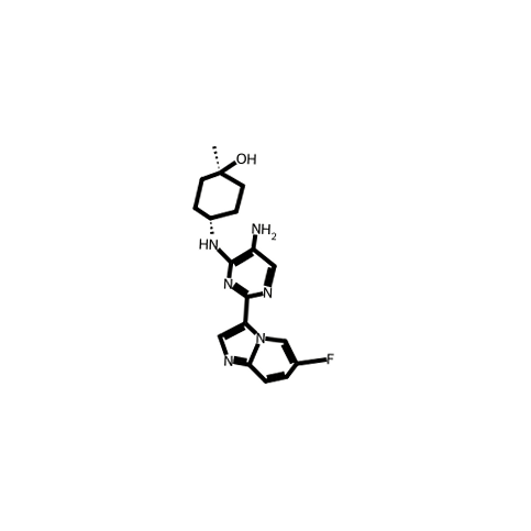 C[C@]1(O)CC[C@H](Nc2nc(-c3cnc4ccc(F)cn34)ncc2N)CC1